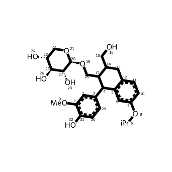 COc1cc(C2c3cc(OC(C)C)ccc3CC(CO)C2CO[C@@H]2OC[C@@H](O)[C@H](O)[C@H]2O)ccc1O